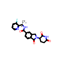 O=C1CCC(N2Cc3cc(C(=O)N[C@H](c4ncccc4F)C(F)(F)F)ccc3C2=O)C(=O)N1